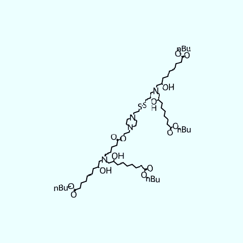 CCCCOC(=O)CCCCCCC(O)CN(CCCCC(=O)OCCN1CCN(CCSSCCCN(CC(O)CCCCCCC(=O)OCCCC)CC(O)CCCCCCC(=O)OCCCC)CC1)CC(O)CCCCCCC(=O)OCCCC